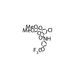 COC=C(Oc1ccc(Cl)cc1C(=O)Nc1ccc(OC(F)(F)F)cc1)C(=O)OC